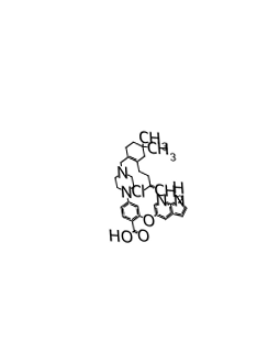 C=C(Cl)CCC1=C(CN2CCN(c3ccc(C(=O)O)c(Oc4cnc5[nH]ccc5c4)c3)CC2)CCC(C)(C)C1